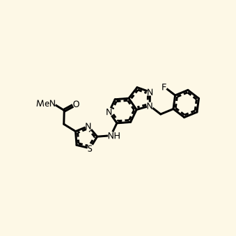 CNC(=O)Cc1csc(Nc2cc3c(cn2)cnn3Cc2ccccc2F)n1